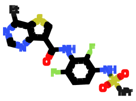 CCCS(=O)(=O)Nc1ccc(F)c(NC(=O)c2csc3c(CC)ncnc23)c1F